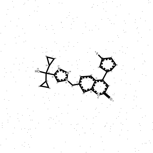 O=c1cc(-c2cccc(F)c2)c2ccc(Cn3cc(C(O)(C4CC4)C4CC4)nn3)cc2o1